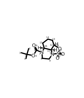 CC(C)(C)OC(=O)N1CCN2[C@H]3[C@H](CCC[C@H]31)OS2(=O)=O